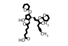 CC#CCC(C)[C@@H](C=C[C@@H]1[C@@H](CC(=O)CCCCC(=O)O)[C@@H](O)C[C@H]1OC1CCCCO1)OC1CCCCO1